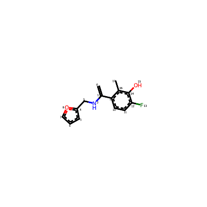 C=C(NCc1ccco1)c1ccc(F)c(O)c1C